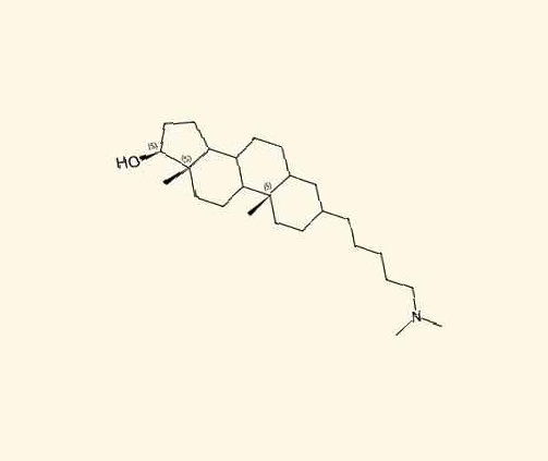 CN(C)CCCCCC1CC[C@@]2(C)C(CCC3C2CC[C@@]2(C)C3CC[C@@H]2O)C1